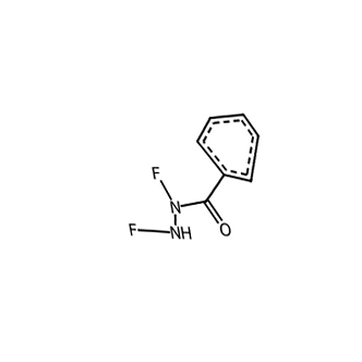 O=C(c1ccccc1)N(F)NF